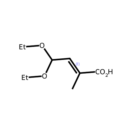 CCOC(/C=C(\C)C(=O)O)OCC